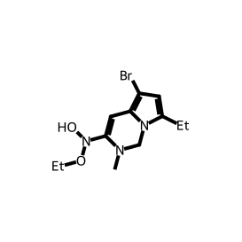 CCON(O)C1=Cc2c(Br)cc(CC)n2CN1C